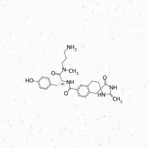 C=C1NC(=O)C2(CCc3cc(C(=O)N[C@H](Cc4ccc(O)cc4)C(=O)N(C)CCCN)ccc3C2)N1